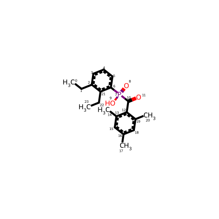 CCc1cccc(P(=O)(O)C(=O)c2c(C)cc(C)cc2C)c1CC